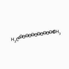 COCCOCCOCCOCCOCCOCCOCCOCCOCCOCCOCCOc1ccc(C)cc1